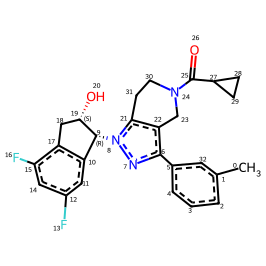 Cc1cccc(-c2nn([C@@H]3c4cc(F)cc(F)c4C[C@@H]3O)c3c2CN(C(=O)C2CC2)CC3)c1